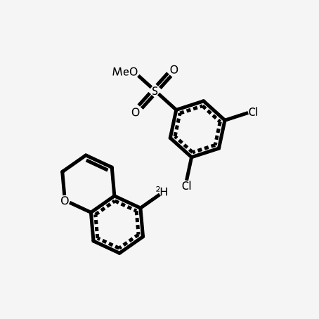 COS(=O)(=O)c1cc(Cl)cc(Cl)c1.[2H]c1cccc2c1C=CCO2